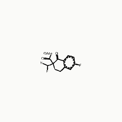 COC(=O)C1(C(F)F)CCc2cc(F)ccc2C1=O